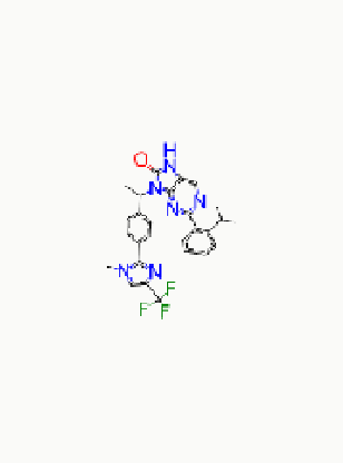 CC(C)c1ccccc1-c1ncc2[nH]c(=O)n(C(C)c3ccc(-c4nc(C(F)(F)F)cn4C)cc3)c2n1